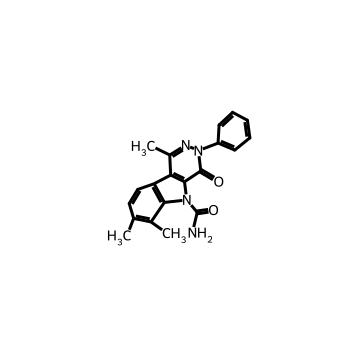 Cc1ccc2c3c(C)nn(-c4ccccc4)c(=O)c3n(C(N)=O)c2c1C